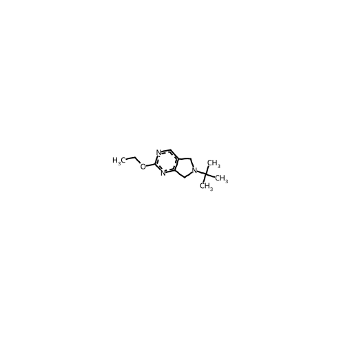 CCOc1ncc2c(n1)CN(C(C)(C)C)C2